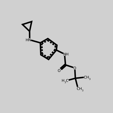 CC(C)(C)OC(=O)Nc1ccc(NC2CC2)cc1